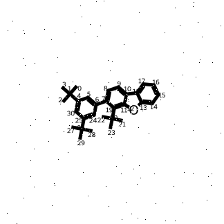 CC(C)(C)c1cc(-c2ccc3c(oc4ccccc43)c2C(C)(C)C)cc(C(C)(C)C)c1